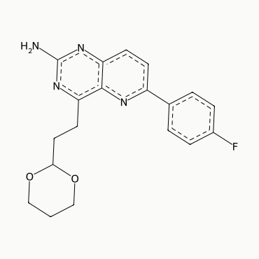 Nc1nc(CCC2OCCCO2)c2nc(-c3ccc(F)cc3)ccc2n1